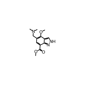 COC(=O)c1cc(CN(C)C)c(OC)c2c[nH]nc12